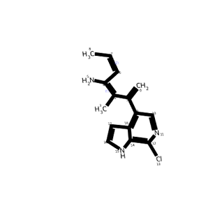 C=C(/C(C)=C(N)\C=C/C)c1cnc(Cl)c2[nH]ccc12